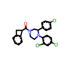 O=C(C1Cc2ccccc21)N1CCN(c2ccc(Cl)cc2Cl)C(c2ccc(Cl)cc2)C1